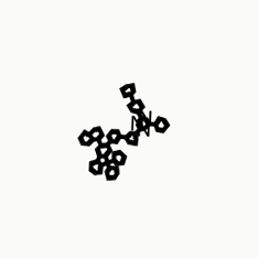 c1ccc(-c2ccc(-c3nc(-c4ccccc4)nc(-c4cccc(-c5cccc(-c6cc7c(cc6-c6cccc8ccccc68)-c6ccccc6C7(c6ccccc6)c6ccccc6)c5)c4)n3)cc2)cc1